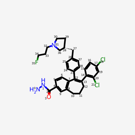 NNC(=O)c1ccc2c(c1)CCCC(c1ccc(Cl)cc1Cl)=C2c1ccc(C[C@H]2CCN(CCCF)C2)cc1